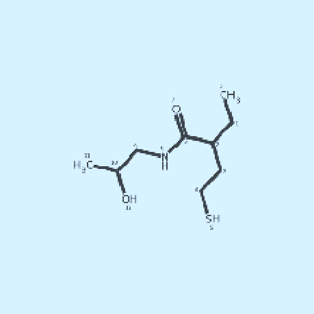 CCC(CCS)C(=O)NCC(C)O